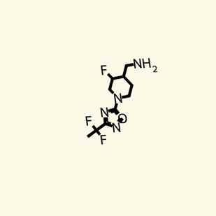 CC(F)(F)c1noc(N2CCC(CN)C(F)C2)n1